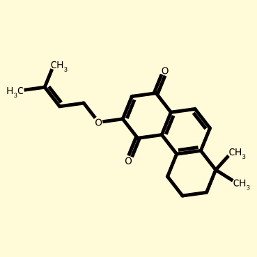 CC(C)=CCOC1=CC(=O)c2ccc3c(c2C1=O)CCCC3(C)C